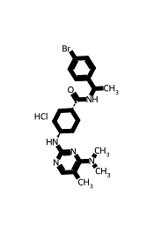 Cc1cnc(N[C@H]2CC[C@@H](C(=O)NC(C)c3ccc(Br)cc3)CC2)nc1N(C)C.Cl